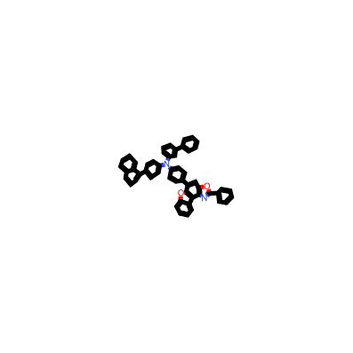 c1ccc(-c2cccc(N(c3ccc(-c4cccc5ccccc45)cc3)c3ccc(-c4cc5oc(-c6ccccc6)nc5c5c4oc4ccccc45)cc3)c2)cc1